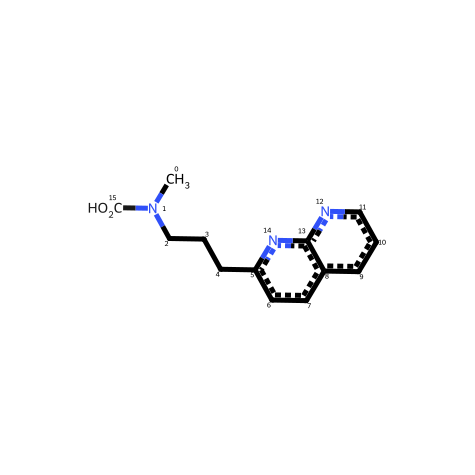 CN(CCCc1ccc2cccnc2n1)C(=O)O